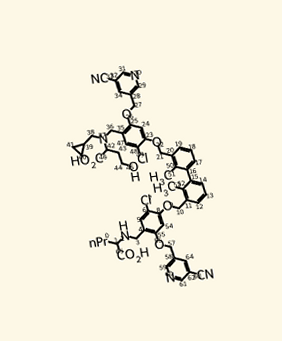 CCCC(NCc1cc(Cl)c(OCc2cccc(-c3cccc(COc4cc(OCc5cncc(C#N)c5)c(CN(CC5CC5)C(CCO)C(=O)O)cc4Cl)c3C)c2C)cc1OCc1cncc(C#N)c1)C(=O)O